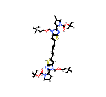 CC1CC(c2nc3sc(C#CC#Cc4cc5c(nc(C6CCCN6C(=O)OC(C)(C)C)n5COCC[Si](C)(C)C)s4)cc3n2COCC[Si](C)(C)C)N(C(=O)OC(C)(C)C)C1